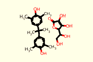 Cc1cc(C(C)(C)c2cc(C)c(O)c(C)c2)cc(C)c1O.O=C1OC(C(O)CO)C(O)=C1O